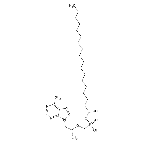 CCCCCCCCCCCCCCCCCC(=O)OP(=O)(O)CO[C@H](C)Cn1cnc2c(N)ncnc21